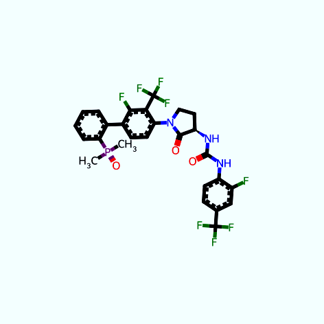 CP(C)(=O)c1ccccc1-c1ccc(N2CC[C@@H](NC(=O)Nc3ccc(C(F)(F)F)cc3F)C2=O)c(C(F)(F)F)c1F